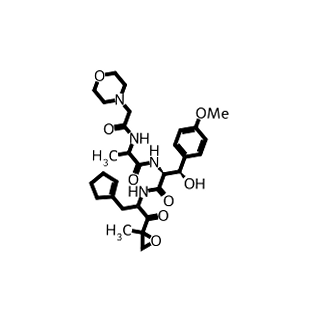 COc1ccc([C@@H](O)[C@H](NC(=O)C(C)NC(=O)CN2CCOCC2)C(=O)NC(CC2=CCCC2)C(=O)C2(C)CO2)cc1